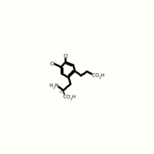 N[C@@H](Cc1cc(Cl)c(Cl)cc1CCC(=O)O)C(=O)O